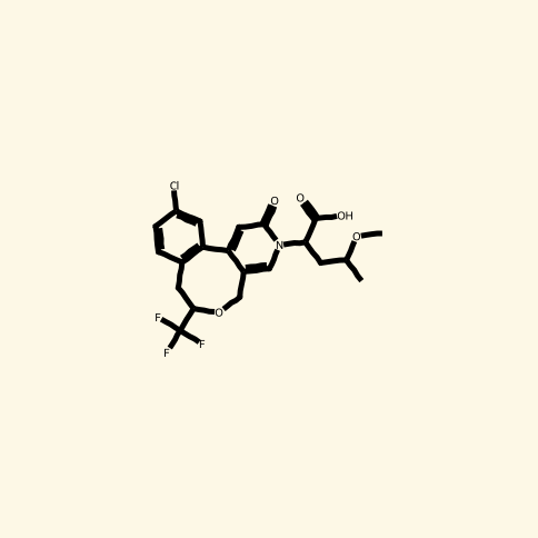 COC(C)CC(C(=O)O)n1cc2c(cc1=O)-c1cc(Cl)ccc1CC(C(F)(F)F)OC2